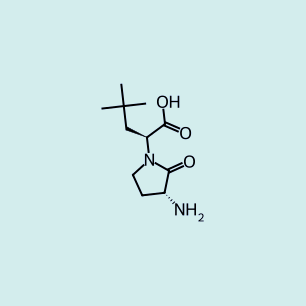 CC(C)(C)C[C@@H](C(=O)O)N1CC[C@@H](N)C1=O